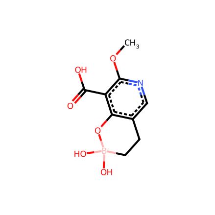 COc1ncc2c(c1C(=O)O)O[B-](O)(O)CC2